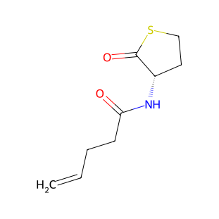 C=CCCC(=O)N[C@H]1CCSC1=O